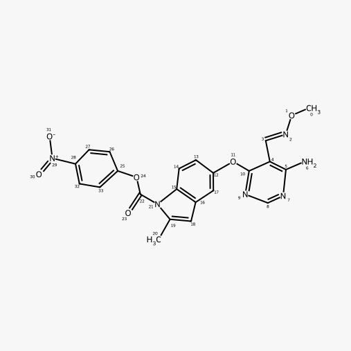 CON=Cc1c(N)ncnc1Oc1ccc2c(c1)cc(C)n2C(=O)Oc1ccc([N+](=O)[O-])cc1